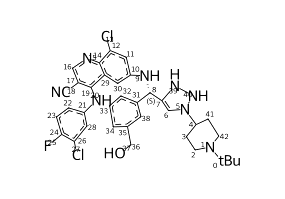 CC(C)(C)N1CCC(N2C=C([C@@H](Nc3cc(Cl)c4ncc(C#N)c(Nc5ccc(F)c(Cl)c5)c4c3)c3cccc(CO)c3)NN2)CC1